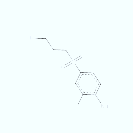 Cc1cc(S(=O)(=O)CCCO)ccc1N